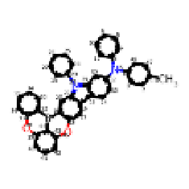 Cc1ccc(N(c2ccccc2)c2ccc3c4cc5c(cc4n(-c4ccccc4)c3c2)B2c3ccccc3Oc3cccc(c32)O5)cc1